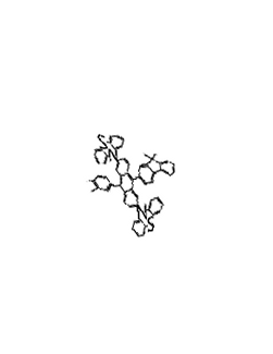 Cc1ccc(-c2c3ccc(N4c5ccccc5Sc5ccccc54)cc3c(-c3ccc4c(c3)C(C)(C)c3ccccc3-4)c3ccc(N4c5ccccc5Sc5ccccc54)cc23)cc1C